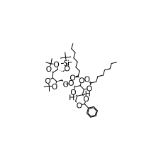 CCCCCCCC(=O)O[C@@H]1[C@H](OC(=O)CCCCCCC)[C@H](OOC[C@H]2OC(C)(C)O[C@H]2[C@@H]2OC(C)(C)O[C@@H]2CO[Si](C)(C)C(C)(C)C)O[C@@H]2COC(c3ccccc3)O[C@@H]12